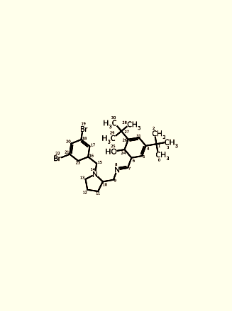 CC(C)(C)C1=CC(/C=N/CC2CCCN2CC2C=C(Br)C=C(Br)C2)C(O)C(C(C)(C)C)=C1